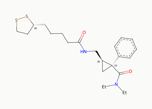 CCN(CC)C(=O)[C@@]1(c2ccccc2)C[C@H]1CNC(=O)CCCC[C@@H]1CCSS1